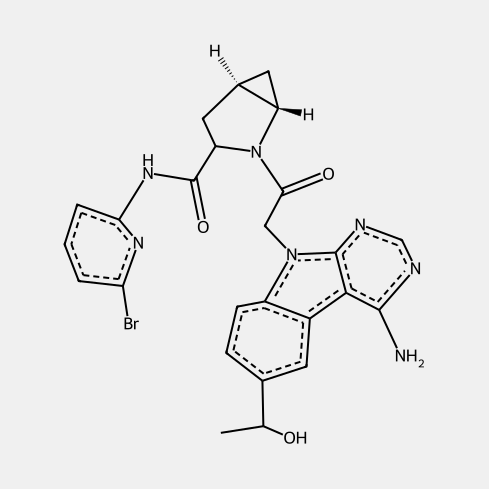 CC(O)c1ccc2c(c1)c1c(N)ncnc1n2CC(=O)N1C(C(=O)Nc2cccc(Br)n2)C[C@H]2C[C@@H]21